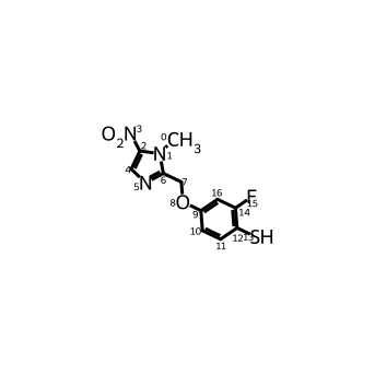 Cn1c([N+](=O)[O-])cnc1COc1ccc(S)c(F)c1